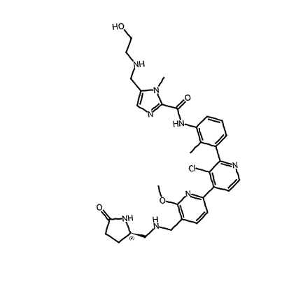 COc1nc(-c2ccnc(-c3cccc(NC(=O)c4ncc(CNCCO)n4C)c3C)c2Cl)ccc1CNC[C@H]1CCC(=O)N1